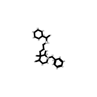 CC(OCCCC1(C)C(C)CCN(Cc2ccccc2)C1C)C1CCCCC1